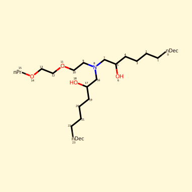 CCCCCCCCCCCCCCC(O)CN(CCOCCOCCC)CC(O)CCCCCCCCCCCCCC